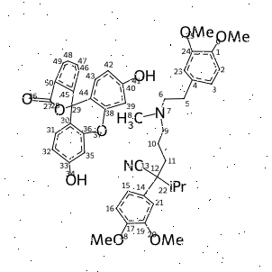 COc1ccc(CCN(C)CCCC(C#N)(c2ccc(OC)c(OC)c2)C(C)C)cc1OC.O=C1OC2(c3ccc(O)cc3Oc3cc(O)ccc32)c2ccccc21